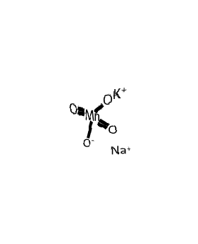 [K+].[Na+].[O]=[Mn](=[O])([O-])[O-]